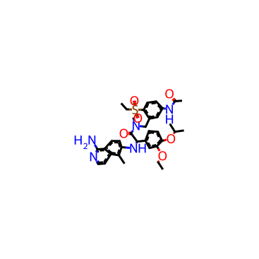 CCOc1cc(C(Nc2ccc3c(N)nccc3c2C)C(=O)N(C)Cc2cc(NC(C)=O)ccc2S(=O)(=O)CC)ccc1OC(C)C